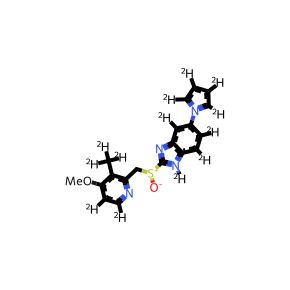 [2H]c1nc(C[S+]([O-])c2nc3c([2H])c(-n4c([2H])c([2H])c([2H])c4[2H])c([2H])c([2H])c3n2[2H])c(C([2H])([2H])[2H])c(OC)c1[2H]